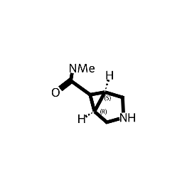 CNC(=O)C1[C@H]2CNC[C@@H]12